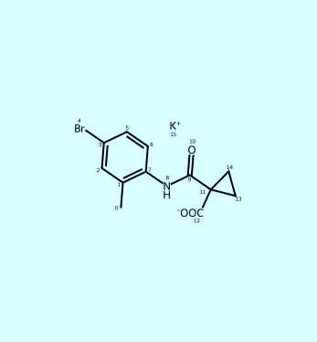 Cc1cc(Br)ccc1NC(=O)C1(C(=O)[O-])CC1.[K+]